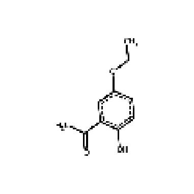 CCOc1ccc(O)c(C(C)=O)c1